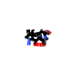 CC1(C)CCNC1C(O)c1ncc(Br)nc1Br